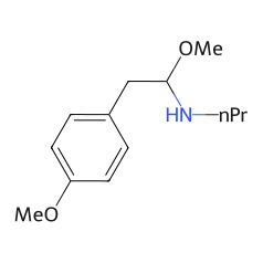 CCCNC(Cc1ccc(OC)cc1)OC